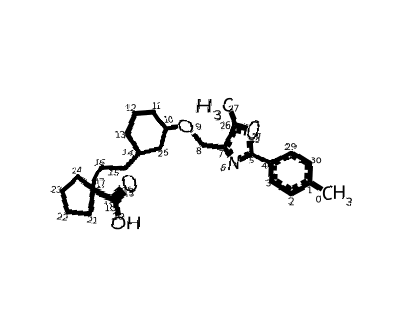 Cc1ccc(-c2nc(COC3CCCC(CCC4(C(=O)O)CCCC4)C3)c(C)o2)cc1